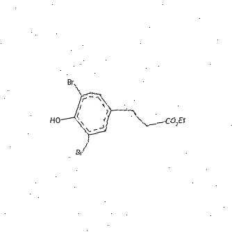 CCOC(=O)CCc1cc(Br)c(O)c(Br)c1